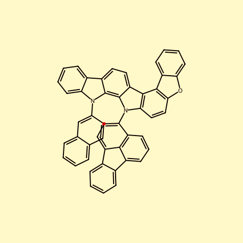 c1ccc2c(c1)-c1cccc3c(-n4c5ccc6oc7ccccc7c6c5c5ccc6c7ccccc7n(-c7ccc8ccccc8c7)c6c54)ccc-2c13